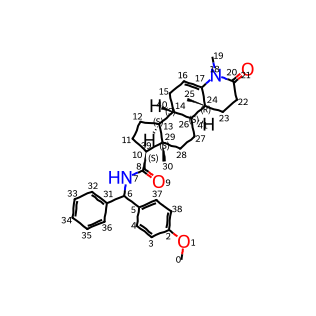 COc1ccc(C(NC(=O)[C@H]2CC[C@H]3[C@@H]4CC=C5N(C)C(=O)CC[C@]5(C)[C@H]4CC[C@]23C)c2ccccc2)cc1